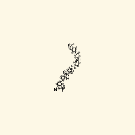 CC(=O)c1ccc(N2CCC(CN3CCC(CCc4ccc(NC(=O)C5CCN(c6ccc(C#N)c(C(F)(F)F)c6)CC5)nc4)CC3)CC2)cc1C